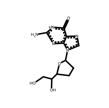 Nc1nc2c(ncn2C2CCC(C(O)CO)O2)c(=O)[nH]1